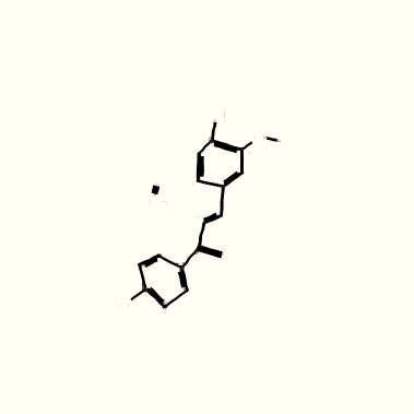 C=O.COc1cc(C=CC(=O)c2ccc(O)cc2)ccc1O